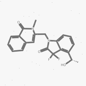 C[C@H](O)c1cccc2c1C(F)(F)C(=O)N2Cc1cc2ccccc2c(=O)n1C